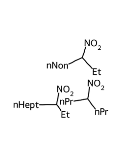 CCCC(CCC)[N+](=O)[O-].CCCCCCCC(CC)[N+](=O)[O-].CCCCCCCCCC(CC)[N+](=O)[O-]